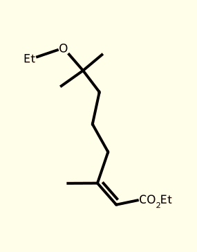 CCOC(=O)C=C(C)CCCC(C)(C)OCC